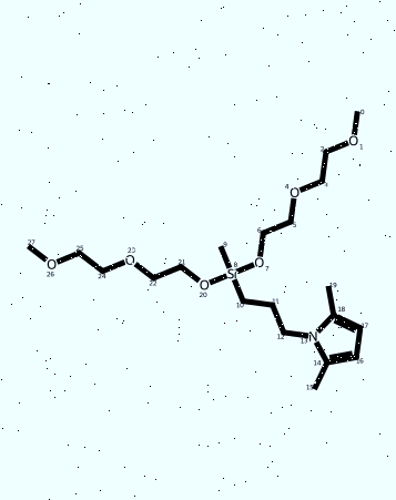 COCCOCCO[Si](C)(CCCn1c(C)ccc1C)OCCOCCOC